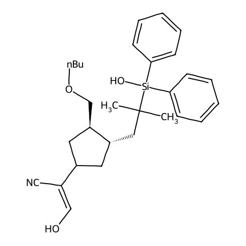 CCCCOC[C@@H]1CC(C(C#N)=CO)C[C@H]1CC(C)(C)[Si](O)(c1ccccc1)c1ccccc1